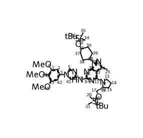 COc1cc(-n2cnc(Nc3nc(N4CCC[C@H]4CO[Si](C)(C)C(C)(C)C)c4c(C)nn(C5CCC(O[Si](C)(C)C(C)(C)C)CC5)c4n3)c2)cc(OC)c1OC